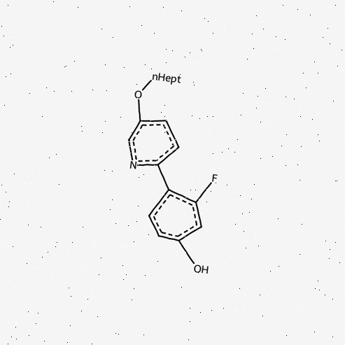 CCCCCCCOc1ccc(-c2ccc(O)cc2F)nc1